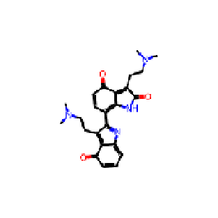 CN(C)CCC1=C2C(=O)C=CC=C2N=C1C1=C2NC(=O)C(CCN(C)C)=C2C(=O)C=C1